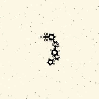 OC(O)(O)c1cccc(-c2noc(-c3ccc4c(c3)ncn4C3CCCC3)n2)c1